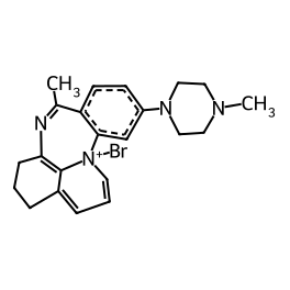 CC1=NC2=C3C(=CC=C[N+]3(Br)c3cc(N4CCN(C)CC4)ccc31)CCC2